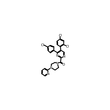 O=C(c1ncc(-c2ccc(Cl)cc2Cl)c(-c2ccc(Cl)cc2)n1)N1CCN(c2ccccn2)CC1